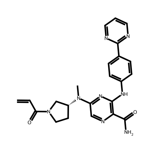 C=CC(=O)N1CC[C@@H](N(C)c2cnc(C(N)=O)c(Nc3ccc(-c4ncccn4)cc3)n2)C1